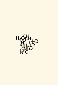 CC(C)(C)OC(=O)N1CCN(c2ccncc2NC(=O)c2ccnc(-c3cccc4c3sc3ccccc34)n2)CC1